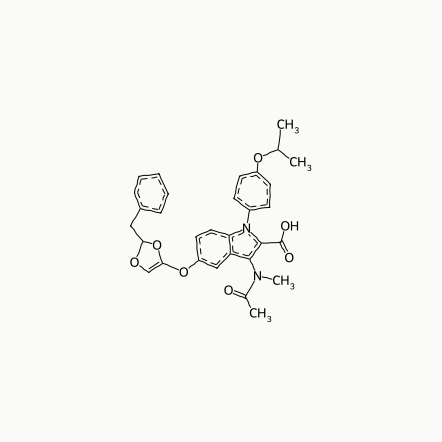 CC(=O)N(C)c1c(C(=O)O)n(-c2ccc(OC(C)C)cc2)c2ccc(OC3=COC(Cc4ccccc4)O3)cc12